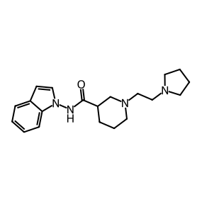 O=C(Nn1ccc2ccccc21)C1CCCN(CCN2CCCC2)C1